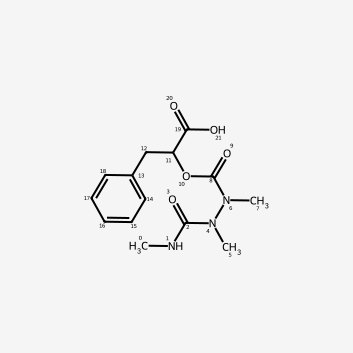 CNC(=O)N(C)N(C)C(=O)OC(Cc1ccccc1)C(=O)O